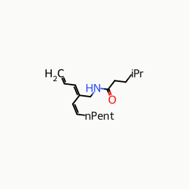 C=C/C=C(\C=C/CCCCC)CNC(=O)CCC(C)C